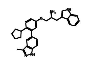 Cc1n[nH]c2ccc(-c3cc(OC[C@@H](N)Cc4c[nH]c5ccccc45)cnc3C3CCCC3)cc12